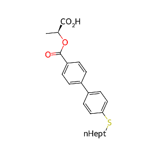 CCCCCCCSc1ccc(-c2ccc(C(=O)O[C@@H](C)C(=O)O)cc2)cc1